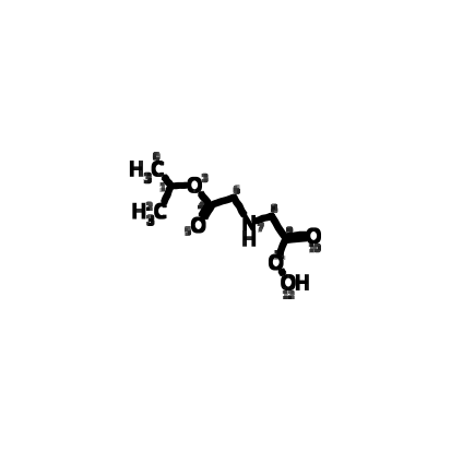 CC(C)OC(=O)CNCC(=O)OO